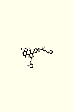 Cc1ccc2[nH]ncc2c1-c1nc(OC[C@@H]2CCCN2C)nc(N2CCC3(CN(C(=O)/C=C/CN4CCC4)C3)C2)c1C#N